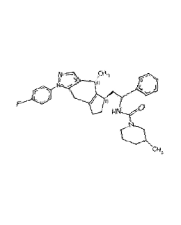 CC1CCCN(C(=O)NC(C[C@H]2CCC3=C2[C@@H](C)c2cnn(-c4ccc(F)cc4)c2C3)c2ccccc2)C1